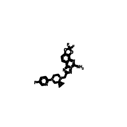 Nc1nc2c3c(ccc2c2nc(CN4CCN(c5ccc(F)cn5)CC45CC5)nn12)OC(F)(F)O3